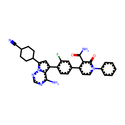 N#CC1CCC(c2cc(-c3ccc(-c4ccn(-c5ccccc5)c(=O)c4C(N)=O)cc3F)c3c(N)ncnn23)CC1